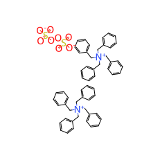 O=S(=O)([O-])OOS(=O)(=O)[O-].c1ccc(C[N+](Cc2ccccc2)(Cc2ccccc2)Cc2ccccc2)cc1.c1ccc(C[N+](Cc2ccccc2)(Cc2ccccc2)Cc2ccccc2)cc1